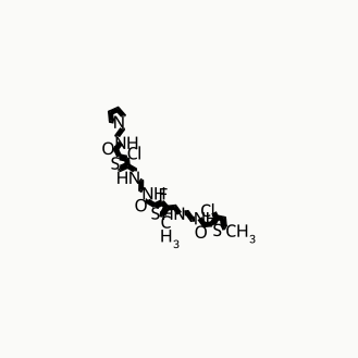 Cc1cc(Cl)c(C(=O)NCCNCc2c(C)sc(C(=O)NCCNCc3csc(C(=O)NCCN4CCCC4)c3Cl)c2F)s1